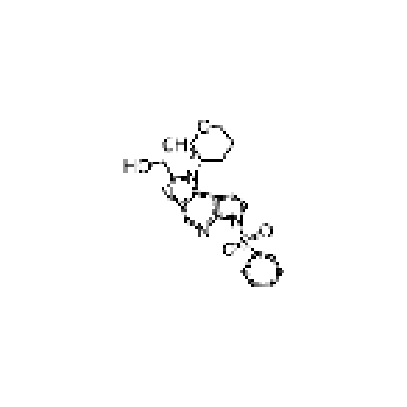 C[C@@H](O)c1nc2cnc3c(ccn3S(=O)(=O)c3ccccc3)c2n1[C@H]1CCCOC1